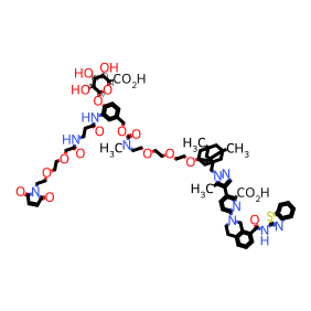 Cc1c(-c2ccc(N3CCc4cccc(C(=O)Nc5nc6ccccc6s5)c4C3)nc2C(=O)O)cnn1CC12CC3(C)CC(C)(C1)CC(OCCOCCOCCN(C)C(=O)OCc1ccc(O[C@@H]4O[C@H](C(=O)O)[C@@H](O)[C@H](O)[C@H]4O)c(NC(=O)CCNC(=O)COCCOCCN4C(=O)C=CC4=O)c1)(C3)C2